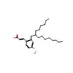 CCCCCCCCC(CCCCCC)Cc1cc(OC)ccc1C=CC(=O)O